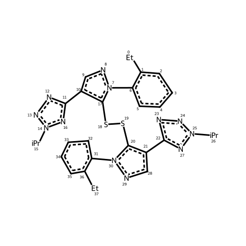 CCc1ccccc1-n1ncc(-c2nnn(C(C)C)n2)c1SSc1c(-c2nnn(C(C)C)n2)cnn1-c1ccccc1CC